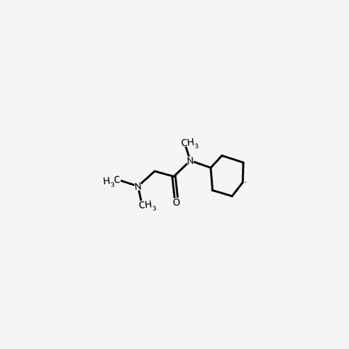 CN(C)CC(=O)N(C)C1CC[CH]CC1